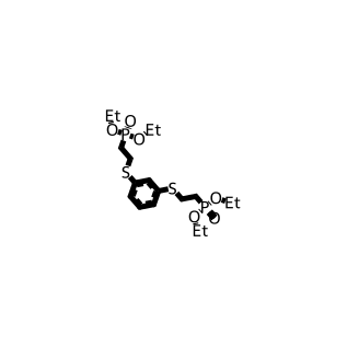 CCOP(=O)(CCSc1cccc(SCCP(=O)(OCC)OCC)c1)OCC